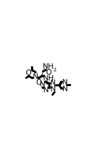 CCn1c(-c2cnc(C)nc2)nc2c(N[C@@H](CC(N)=O)C(=O)N3CC(C)OC(C)C3)ncnc21